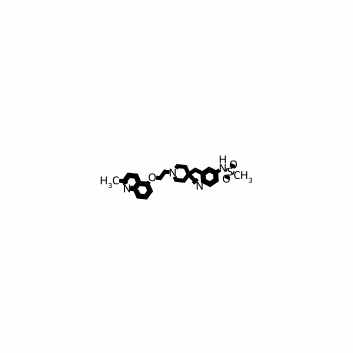 Cc1ccc2c(OCCN3CCC(C#N)(Cc4cccc(NS(C)(=O)=O)c4)CC3)cccc2n1